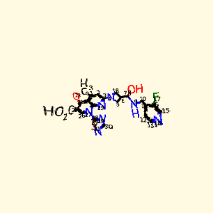 Cc1cc(N2CC(C(O)NCc3ccncc3F)C2)nc2c1c(=O)c(C(=O)O)cn2-c1ncns1